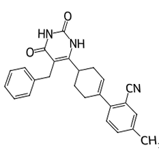 Cc1ccc(C2=CCC(c3[nH]c(=O)[nH]c(=O)c3Cc3ccccc3)CC2)c(C#N)c1